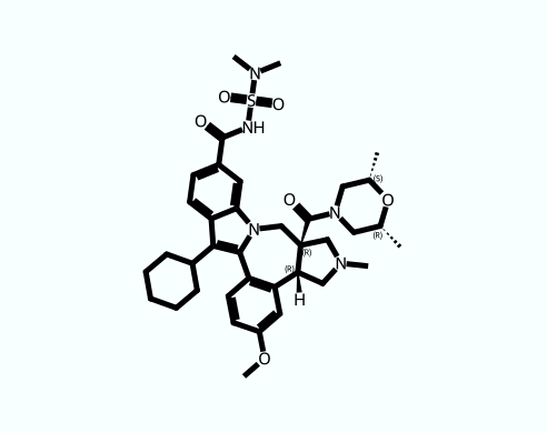 COc1ccc2c(c1)[C@H]1CN(C)C[C@@]1(C(=O)N1C[C@@H](C)O[C@@H](C)C1)Cn1c-2c(C2CCCCC2)c2ccc(C(=O)NS(=O)(=O)N(C)C)cc21